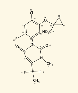 Cn1c(C(C)(F)F)cc(=O)n(-c2cc(OC3(C(=O)O)CC3)c(Cl)cc2F)c1=O